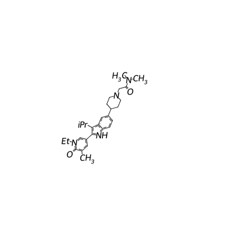 CCn1cc(-c2[nH]c3ccc(C4CCN(CC(=O)N(C)C)CC4)cc3c2C(C)C)cc(C)c1=O